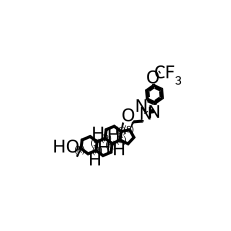 C[C@@]1(O)CC[C@H]2[C@H](CC[C@@H]3[C@@H]2CC[C@]2(C)[C@@H](C(=O)Cn4nc5ccc(OC(F)(F)F)cc5n4)CC[C@@H]32)C1